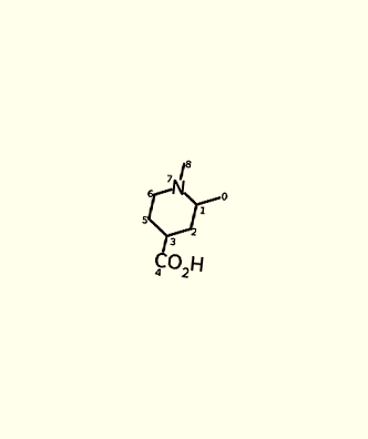 CC1CC(C(=O)O)CCN1C